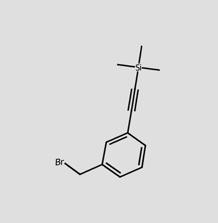 C[Si](C)(C)C#Cc1cccc(CBr)c1